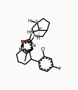 Cc1cc(N2CC3CC[C@@H](C2)[C@@H]3Nc2nc3n(n2)CCCC3c2ccc(F)cc2Cl)sn1